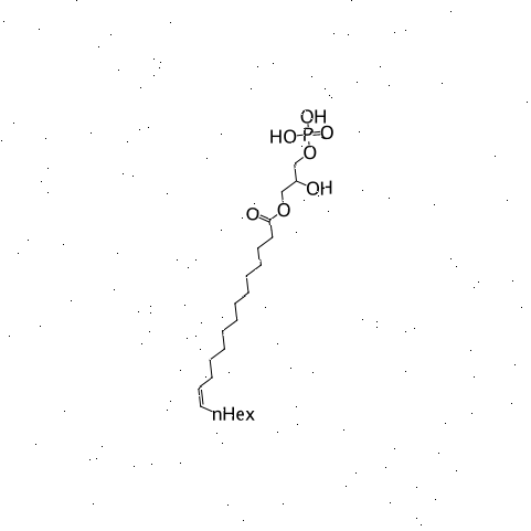 CCCCCC/C=C\CCCCCCCCCCCC(=O)OCC(O)COP(=O)(O)O